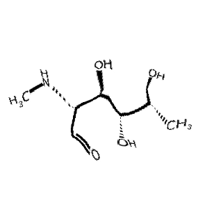 CN[C@@H](C=O)[C@@H](O)[C@@H](O)[C@@H](C)O